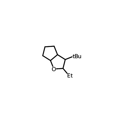 CCC1OC2CCCC2C1C(C)(C)C